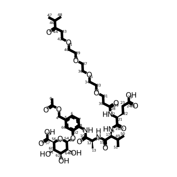 CC(=O)OCc1ccc(NC(=O)[C@H](C)NC(=O)[C@@H](NC(=O)[C@H](CCC(=O)O)NC(=O)CCOCCOCCOCCOCCC(=O)C(C)C)C(C)C)c(O[C@@H]2O[C@H](C(=O)O)[C@@H](O)[C@H](O)[C@H]2O)c1